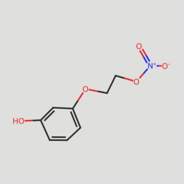 O=[N+]([O-])OCCOc1cccc(O)c1